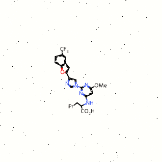 COc1cc(NC(CC(C)C)C(=O)O)nc(-n2cnc(-c3cc4cc(C(F)(F)F)ccc4o3)c2)n1